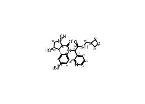 CC(C)(C)c1ccc(N(C(=O)[C@H]2C[C@@H](O)CN2C#N)C(C(=O)NCC2COC2)c2cccnc2)cc1